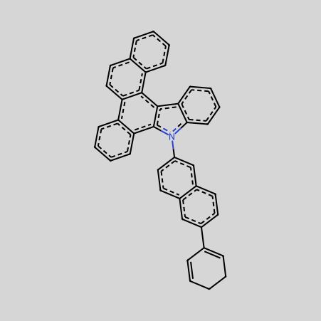 C1=CC(c2ccc3cc(-n4c5ccccc5c5c6c7ccccc7ccc6c6ccccc6c54)ccc3c2)=CCC1